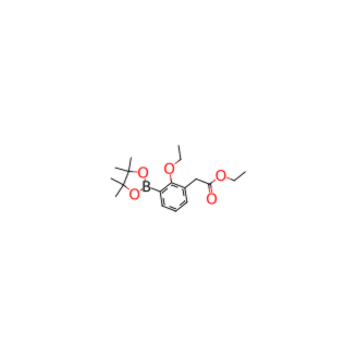 CCOC(=O)Cc1cccc(B2OC(C)(C)C(C)(C)O2)c1OCC